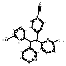 N#Cc1ccc(C(c2cccc(N)n2)C(c2cccnc2)c2cccc(N)n2)cc1